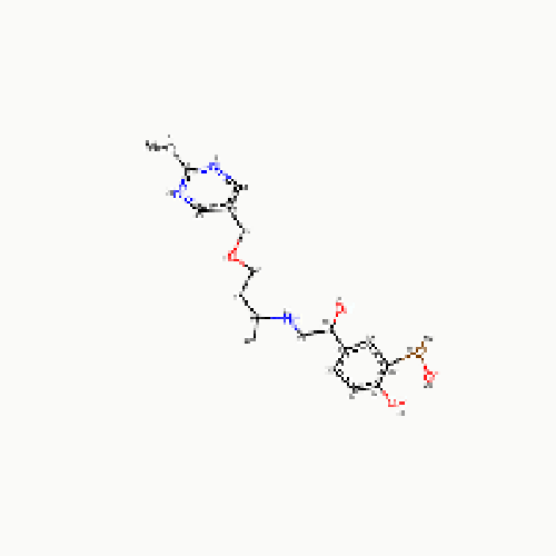 COc1ncc(COCCC(C)NCC(O)c2ccc(O)c([S+](C)[O-])c2)cn1